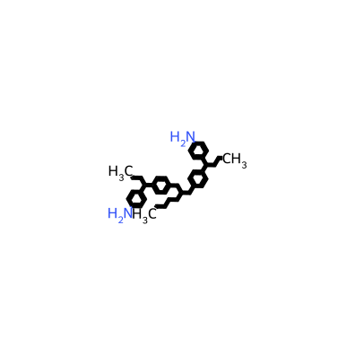 CCCCCC(Cc1ccc(C(CCC)c2ccc(N)cc2)cc1)Cc1ccc(C(CCC)c2ccc(N)cc2)cc1